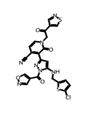 N#Cc1ccn(CC(=O)c2cnsc2)c(=O)c1-c1cc(NCc2ccc(Cl)s2)n(C(=O)c2cnoc2)n1